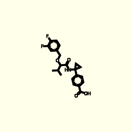 CC(C)C(OCc1ccc(F)c(F)c1)C(=O)NC1(c2ccc(C(=O)O)cc2)CC1